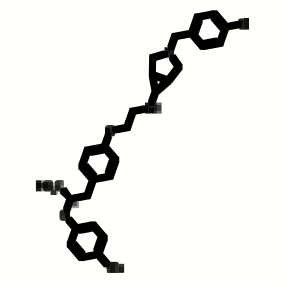 CC(C)(C)c1ccc(O[C@H](Cc2ccc(OCCNC3C4CN(Cc5ccc(Cl)cc5)CC43)cc2)C(=O)O)cc1